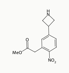 COC(=O)Cc1cc(C2CNC2)ccc1[N+](=O)[O-]